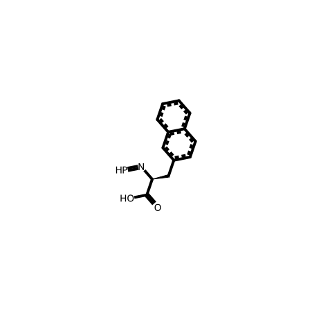 O=C(O)[C@H](Cc1ccc2ccccc2c1)N=P